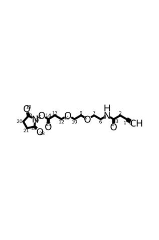 C#CCC(=O)NCCOCCOCCC(=O)ON1C(=O)CCC1=O